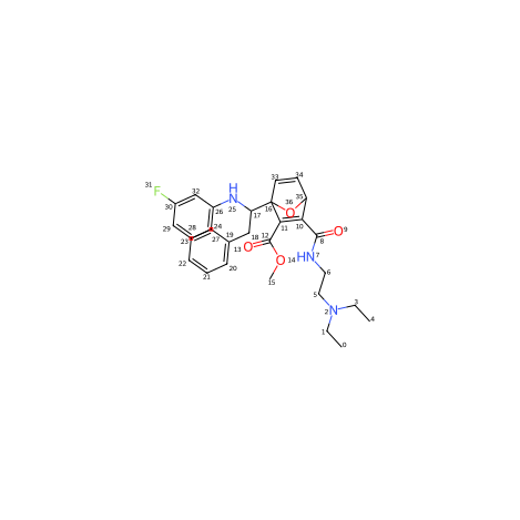 CCN(CC)CCNC(=O)C1=C(C(=O)OC)C2(C(Cc3ccccc3)Nc3cccc(F)c3)C=CC1O2